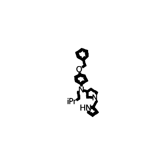 CC(C)CCN(c1ccc(OCc2ccccc2)cc1)C1CCN(Cc2ccc[nH]2)C1